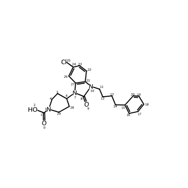 O=C(O)N1CCC(n2c(=O)n(CCCCc3ccccc3)c3ccc(Cl)cc32)CC1